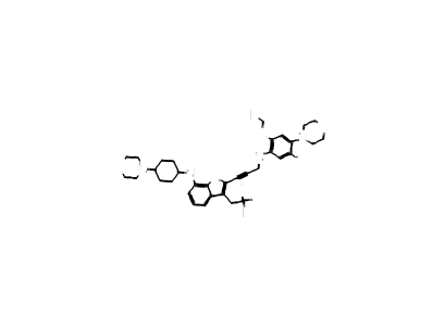 FCOc1cc(N2CCOCC2)c(F)cc1NCC#Cc1sc2c(NC3CCC(N4CCOCC4)CC3)cccc2c1CC(F)(F)F